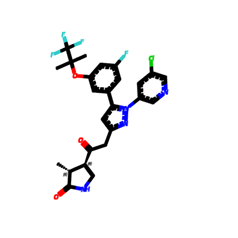 C[C@H]1C(=O)NC[C@@H]1C(=O)Cc1cc(-c2cc(F)cc(OC(C)(C)C(F)(F)F)c2)n(-c2cncc(Cl)c2)n1